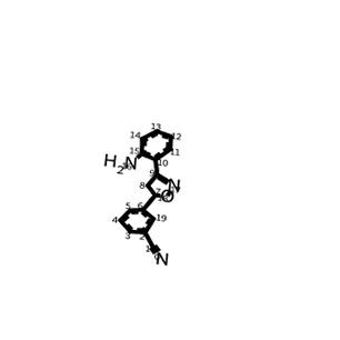 N#Cc1cccc(C2CC(c3ccccc3N)=NO2)c1